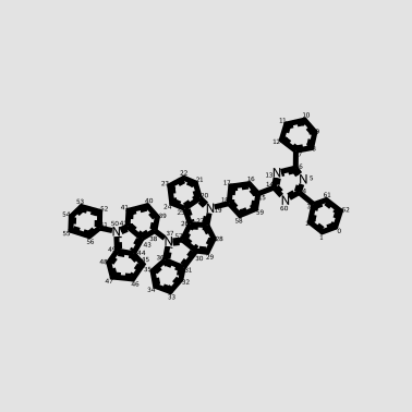 c1ccc(-c2nc(-c3ccccc3)nc(-c3ccc(-n4c5ccccc5c5c4ccc4c6ccccc6n(-c6cccc7c6c6ccccc6n7-c6ccccc6)c45)cc3)n2)cc1